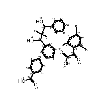 CC(C)(C(O)c1ccccc1)C(O)c1ccccc1.Cc1cc(C)c(C(=O)C(=O)O)c(C)c1.O=C(O)c1ccccc1